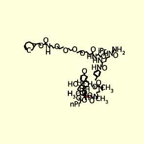 CCCC1O[C@@H]2C[C@H]3[C@@H]4CCC5=CC(=O)C=C[C@]5(C)[C@H]4[C@@H](O)C[C@]3(C)[C@]2(C(=O)COC(=O)N(C)CCN(C)C(=O)OCc2ccc(NC(=O)[C@H](CCCNC(N)=O)NC(=O)[C@@H](NC(=O)CCOCCOCCOCCOCCNC(=O)OCC3C4CCC#CCCC43)C(C)C)cc2)O1